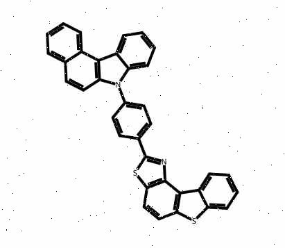 c1ccc2c(c1)ccc1c2c2ccccc2n1-c1ccc(-c2nc3c(ccc4sc5ccccc5c43)s2)cc1